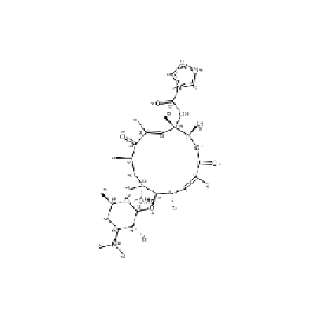 CC[C@H]1OC(=O)/C(C)=C\[C@H](C)[C@@H](O[C@@H]2O[C@H](C)C[C@H](N(C)C)[C@H]2C)[C@](C)(OC)C[C@@H](C)C(=O)/C(C)=C/[C@]1(C)OC(=O)n1ccnc1